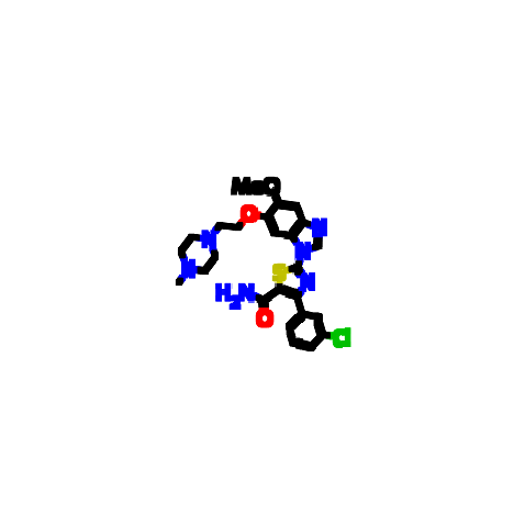 COc1cc2ncn(-c3nc(-c4cccc(Cl)c4)c(C(N)=O)s3)c2cc1OCCN1CCN(C)CC1